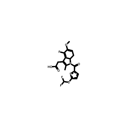 COC1=CCC2C(=C1F)C(CC(=O)O)=C(C)N2C(=O)c1ccc(SC(F)F)s1